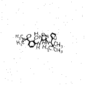 CN(C)C(=O)c1cccc(Nc2nonc2N[C@@H](c2ccco2)C(C)(C)C)c1O